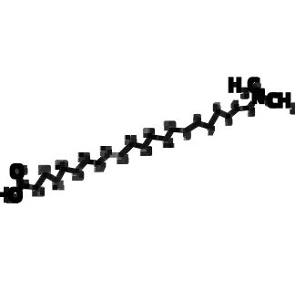 CN(C)CCCCCCCCCCCCCCCCCCCCCC(=O)O